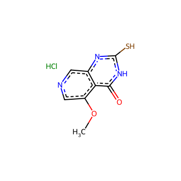 COc1cncc2nc(S)[nH]c(=O)c12.Cl